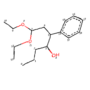 CCCC(O)C(CC(OCC)OCC)c1ccccc1